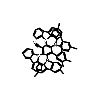 Cc1ccc2c(c1)c1cc(C)ccc1n2-c1c(-c2cc(C)c(C)cc2C)c(-n2c3ccc(C)cc3c3cc(C)ccc32)c(-n2c3ccccc3c3ccccc32)c(C#N)c1-n1c2ccccc2c2ccccc21